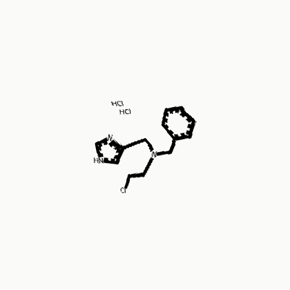 Cl.Cl.ClCCN(Cc1ccccc1)Cc1c[nH]cn1